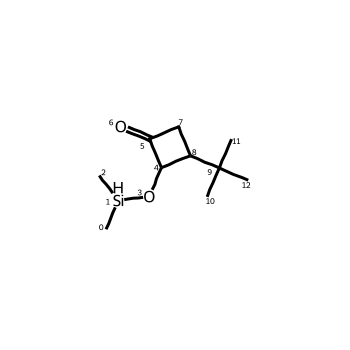 C[SiH](C)OC1C(=O)CC1C(C)(C)C